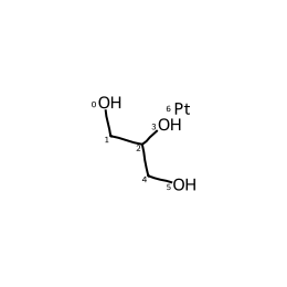 OCC(O)CO.[Pt]